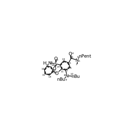 CCCCCN(C)C(=O)c1cc(N(CCCC)CCCC)c(Oc2ccccc2)c(S(N)(=O)=O)c1